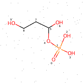 O=P(O)(O)OC(O)CCO